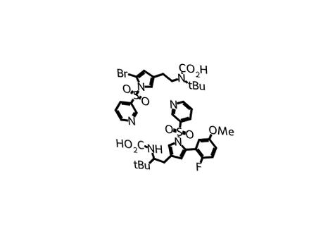 CC(C)(C)N(CCc1cc(Br)n(S(=O)(=O)c2cccnc2)c1)C(=O)O.COc1ccc(F)c(-c2cc(CC(NC(=O)O)C(C)(C)C)cn2S(=O)(=O)c2cccnc2)c1